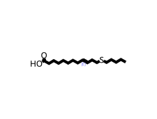 CCCCCSCC/C=C/CCCCCCCC(=O)O